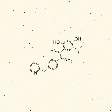 CC(C)c1cc(C(=N)N(N)c2ccc(Cc3ccccn3)cc2)c(O)cc1O